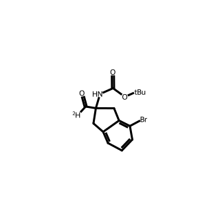 [2H]C(=O)C1(NC(=O)OC(C)(C)C)Cc2cccc(Br)c2C1